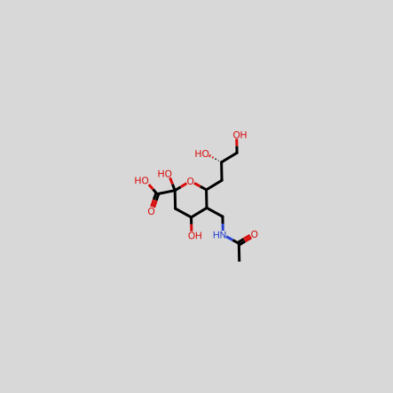 CC(=O)NCC1C(O)CC(O)(C(=O)O)OC1C[C@H](O)CO